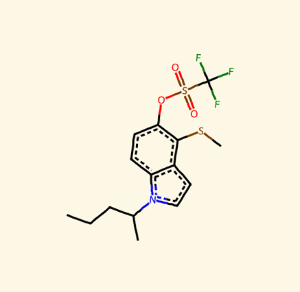 CCCC(C)n1ccc2c(SC)c(OS(=O)(=O)C(F)(F)F)ccc21